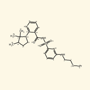 CCCOCCNc1cccc(S(=O)(=O)NC(=O)c2cccnc2N2CCC(C)C2(C)C)n1